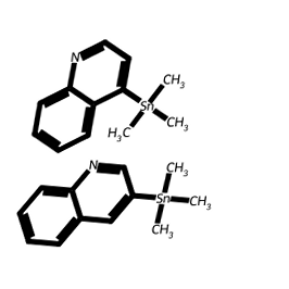 [CH3][Sn]([CH3])([CH3])[c]1ccnc2ccccc12.[CH3][Sn]([CH3])([CH3])[c]1cnc2ccccc2c1